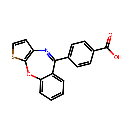 O=C(O)c1ccc(C2=Nc3ccsc3Oc3ccccc32)cc1